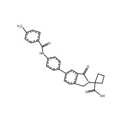 Cc1ccc(C(=O)Nc2ccc(-c3ccc4c(c3)C(=O)N(C3(C(=O)O)CCC3)C4)cc2)cc1